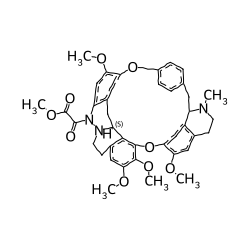 COC(=O)C(=O)N1c2cc(OC)c3cc2C[C@H]2c4c(cc(OC)c(OC)c4Oc4cc5c(cc4OC)CCN(C)C5Cc4ccc(cc4)O3)CCN21